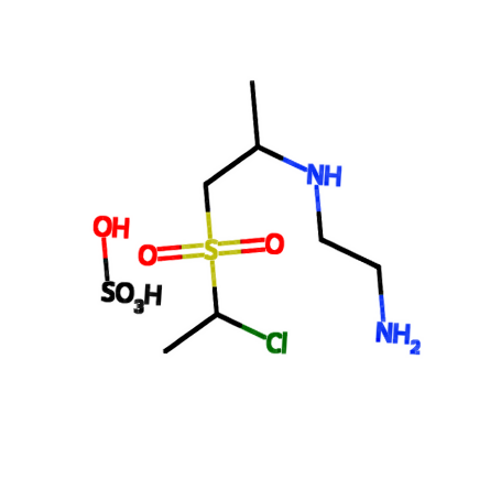 CC(CS(=O)(=O)C(C)Cl)NCCN.O=S(=O)(O)O